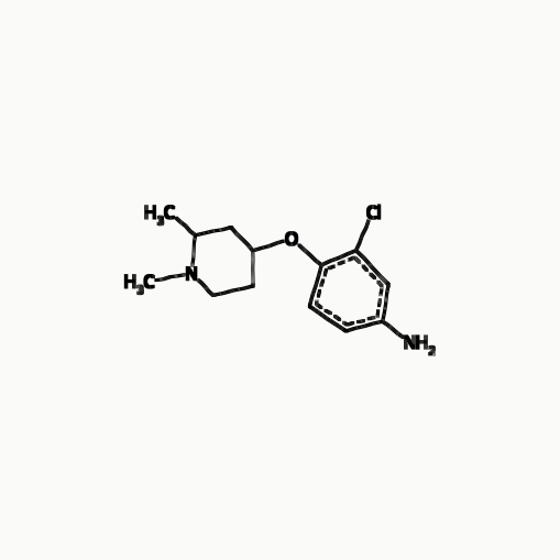 CC1CC(Oc2ccc(N)cc2Cl)CCN1C